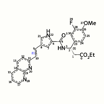 CCOC(=O)C[C@H](NC(=O)c1cc(/C=C/c2ccc3cccnc3n2)c[nH]1)c1ccc(OC)c(F)c1